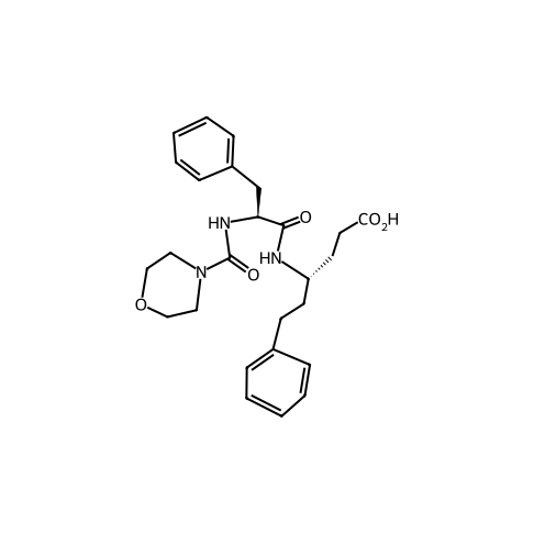 O=C(O)CC[C@H](CCc1ccccc1)NC(=O)[C@H](Cc1ccccc1)NC(=O)N1CCOCC1